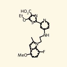 CCOc1sc(-c2cc(NCCn3c(C)cc4c(OC)ccc(F)c43)ccn2)nc1C(=O)O